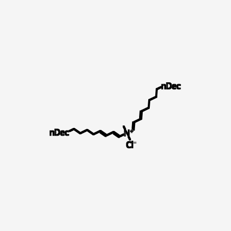 CCCCCCCCCCCCCCC=CC=C[N+](C)(C)C=CC=CCCCCCCCCCCCCCC.[Cl-]